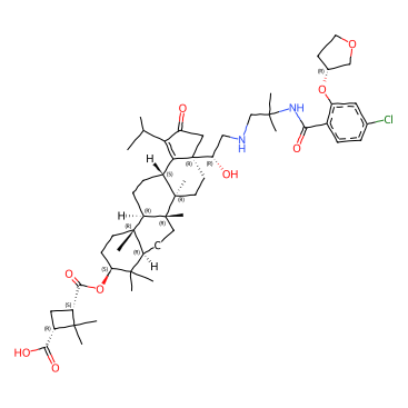 CC(C)C1=C2[C@H]3CC[C@@H]4[C@@]5(C)CC[C@H](OC(=O)[C@H]6C[C@@H](C(=O)O)C6(C)C)C(C)(C)[C@@H]5CC[C@@]4(C)[C@]3(C)CC[C@@]2([C@@H](O)CNCC(C)(C)NC(=O)c2ccc(Cl)cc2O[C@@H]2CCOC2)CC1=O